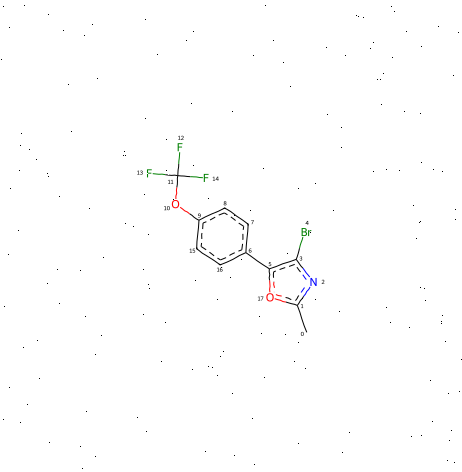 Cc1nc(Br)c(-c2ccc(OC(F)(F)F)cc2)o1